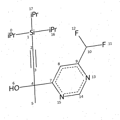 CC(C)[Si](C#CC(C)(O)c1cc(C(F)F)ncn1)(C(C)C)C(C)C